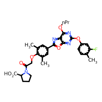 CCCOc1nc(Oc2ccc(C)c(F)c2)nc2oc(-c3cc(C)c(OCC(=O)N4CCCC4C(=O)O)c(C)c3)nc12